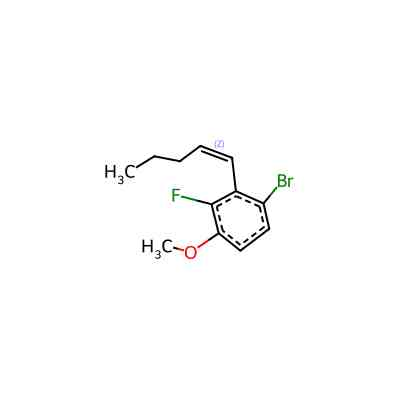 CCC/C=C\c1c(Br)ccc(OC)c1F